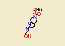 CN(CCO)c1ccc2c(n1)CCN(C(=O)OC(C)(C)C)CC2